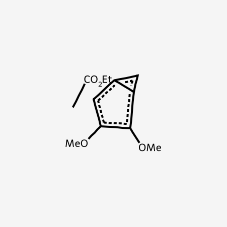 CCOC(C)=O.COc1cc2cc-2c1OC